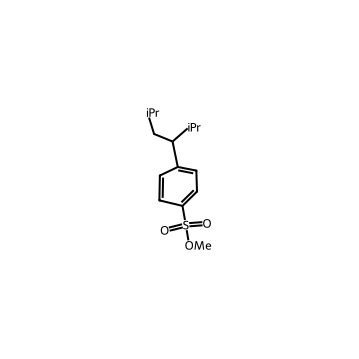 COS(=O)(=O)c1ccc(C(CC(C)C)C(C)C)cc1